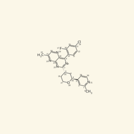 Cc1cc([C@@H]2C[C@@H](c3nc(-c4ccc(Cl)cc4F)c4ncc(C)nc4n3)CCO2)ccn1